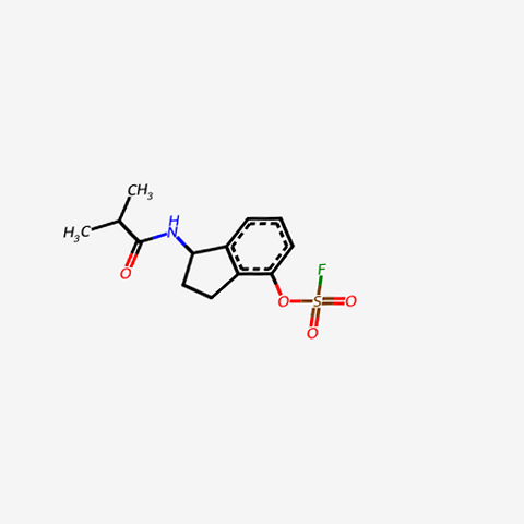 CC(C)C(=O)NC1CCc2c(OS(=O)(=O)F)cccc21